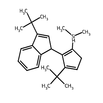 C[SiH](C)C1=C(C2C=C(C(C)(C)C)c3ccccc32)C(C(C)(C)C)=CC1